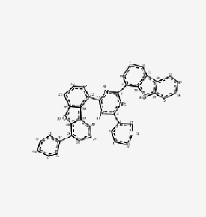 c1ccc(-c2nc(-c3cccc4c3sc3ccccc34)nc(-c3cccc4oc5c(-c6ccccc6)cccc5c34)n2)cc1